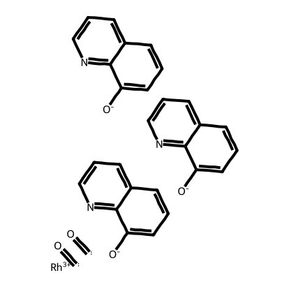 [C]=O.[C]=O.[O-]c1cccc2cccnc12.[O-]c1cccc2cccnc12.[O-]c1cccc2cccnc12.[Rh+3]